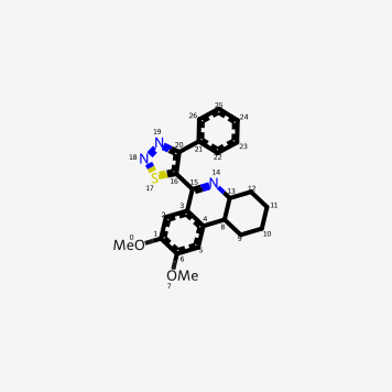 COc1cc2c(cc1OC)C1CCCCC1N=C2c1snnc1-c1ccccc1